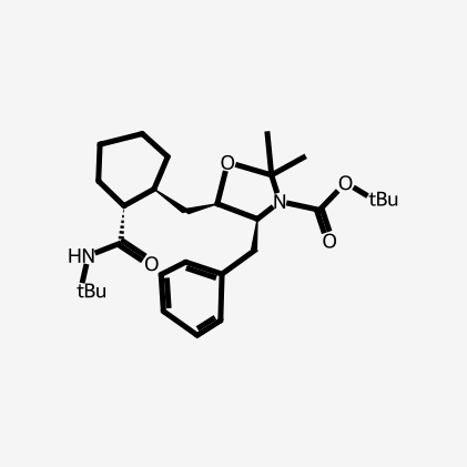 CC(C)(C)NC(=O)[C@@H]1CCCC[C@H]1C[C@H]1OC(C)(C)N(C(=O)OC(C)(C)C)[C@H]1Cc1ccccc1